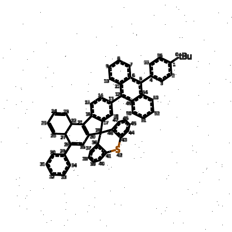 CC(C)(C)c1ccc(-c2c3ccccc3c(-c3ccc4c(c3)C3(C5=C4C4C=CC=CC4C(c4ccccc4)=C5)c4ccccc4Sc4ccccc43)c3ccccc23)cc1